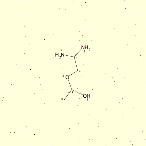 CC(O)OCC(N)N